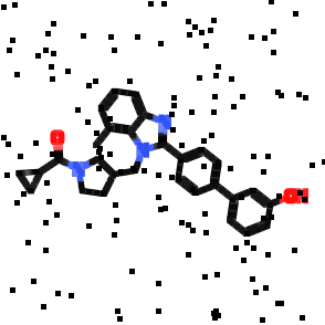 Cc1cccc2nc(-c3ccc(-c4cccc(O)c4)cc3)n(CC3CCN(C(=O)C4CC4)C3)c12